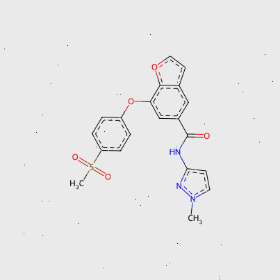 Cn1ccc(NC(=O)c2cc(Oc3ccc(S(C)(=O)=O)cc3)c3occc3c2)n1